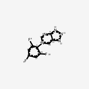 Fc1cc(F)c(-n2cnc3nnnc-3c2)c(F)c1